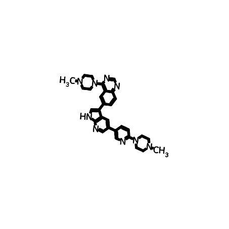 CN1CCN(c2ccc(-c3cnc4[nH]cc(-c5ccc6ncnc(N7CCN(C)CC7)c6c5)c4c3)cn2)CC1